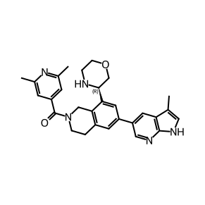 Cc1cc(C(=O)N2CCc3cc(-c4cnc5[nH]cc(C)c5c4)cc([C@@H]4COCCN4)c3C2)cc(C)n1